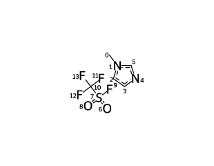 Cn1ccnc1.O=S(=O)(F)C(F)(F)F